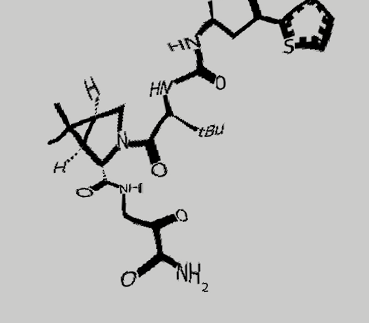 CC(C)[C@@H](CC(=O)c1cccs1)NC(=O)N[C@H](C(=O)N1C[C@H]2[C@@H]([C@H]1C(=O)NCC(=O)C(N)=O)C2(C)C)C(C)(C)C